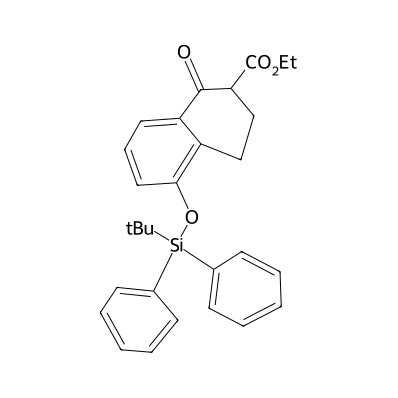 CCOC(=O)C1CCc2c(O[Si](c3ccccc3)(c3ccccc3)C(C)(C)C)cccc2C1=O